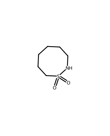 O=S1(=O)CCCCCCN1